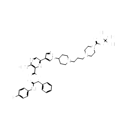 CC(C)(C)OC(=O)N1CCN(CCCN2CCC(n3cc(-c4cnc(N)c(C(=O)O[C@@H](C(=O)Nc5ccc(F)cc5)c5ccccc5)n4)cn3)CC2)CC1